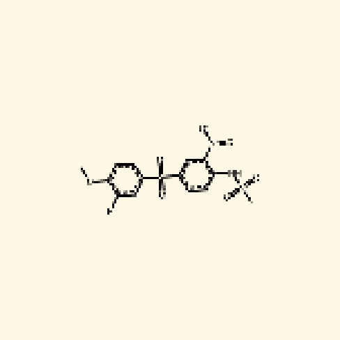 COc1ccc(S(=O)(=O)c2ccc(NS(C)(=O)=O)c([N+](=O)[O-])c2)cc1F